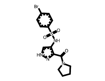 O=C(c1n[nH]cc1NS(=O)(=O)c1ccc(Br)cc1)N1CCCC1